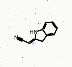 N#C/C=C1/Cc2ccccc2N1